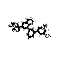 CC(C)(c1cc(-c2cccc(-c3cc(C#N)c[n+]([O-])c3)c2)c2ncccc2c1)S(C)(=O)=O